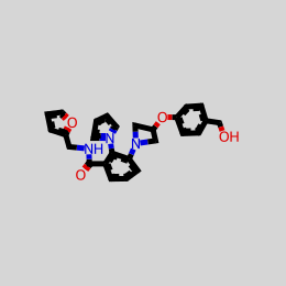 O=C(NCc1ccco1)c1cccc(N2CC(Oc3ccc(CO)cc3)C2)c1-n1cccc1